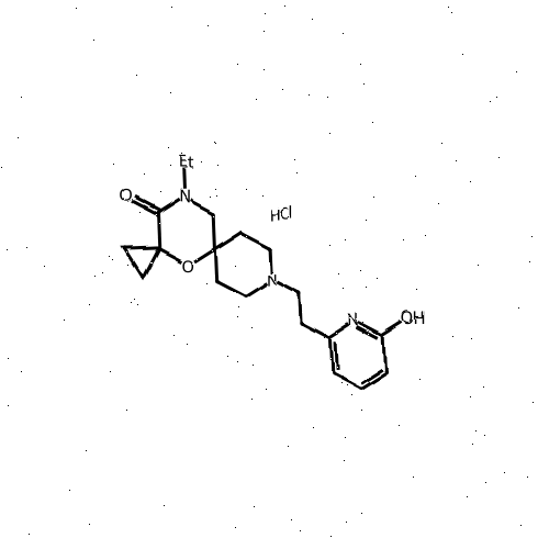 CCN1CC2(CCN(CCc3cccc(O)n3)CC2)OC2(CC2)C1=O.Cl